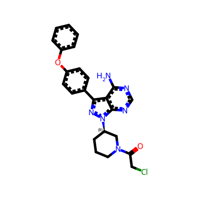 Nc1ncnc2c1c(-c1ccc(Oc3ccccc3)cc1)nn2[C@@H]1CCCN(C(=O)CCl)C1